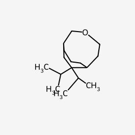 CC(C)C1(C(C)C)CC2CCCC1CCOC2